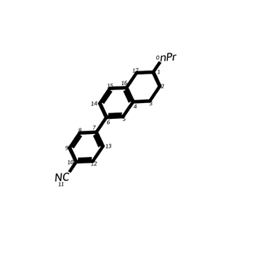 CCCC1CCc2cc(-c3ccc(C#N)cc3)ccc2C1